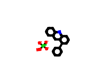 [O-][Cl+3]([O-])([O-])O.c1ccc(-c2cccc3nc4ccccc4cc23)cc1